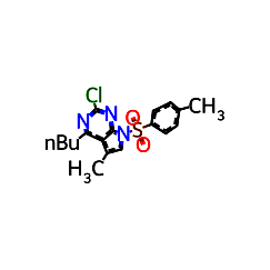 CCCCc1nc(Cl)nc2c1c(C)cn2S(=O)(=O)c1ccc(C)cc1